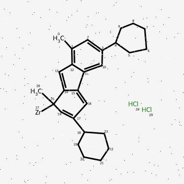 Cc1cc(C2CCCCC2)cc2c1C=C1C2=CC(C2CCCCC2)=C[C]1(C)[Zr].Cl.Cl